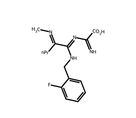 CCCC(=N\C)/C(=N/C(=N)C(=O)O)NCc1ccccc1F